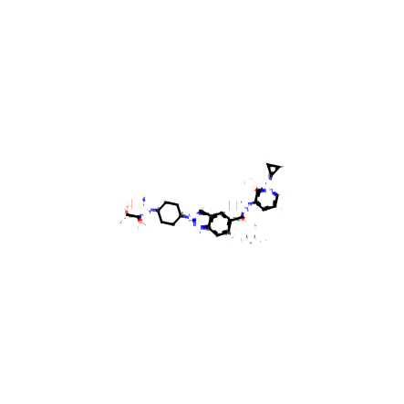 COc1cc2nn(C3CCC(N(C)C(=O)[C@@H](C)O)CC3)cc2cc1C(=O)Nc1cccn(C2CC2)c1=O